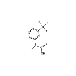 CC(C(=O)O)c1cncc(C(F)(F)F)c1